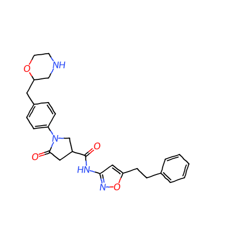 O=C(Nc1cc(CCc2ccccc2)on1)C1CC(=O)N(c2ccc(CC3CNCCO3)cc2)C1